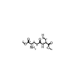 COC(=O)[C@H](CS)NC(=O)CC[C@H](N)C(=O)OC